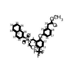 CCN(Cc1cc(C(F)(F)F)ccc1Oc1cccc(CC(=O)OC)c1)S(=O)(=O)c1ccc2ccccc2c1